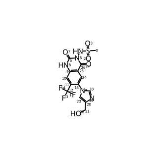 CS(=O)(=O)Nn1c(=O)[nH]c2cc(C(F)(F)F)c(-n3cnc(CO)c3)cc2c1=O